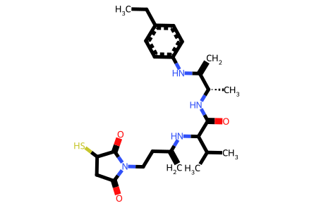 C=C(CCN1C(=O)CC(S)C1=O)NC(C(=O)N[C@@H](C)C(=C)Nc1ccc(CC)cc1)C(C)C